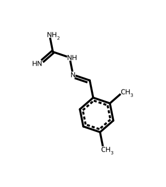 Cc1ccc(C=NNC(=N)N)c(C)c1